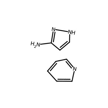 Nc1cc[nH]n1.c1ccncc1